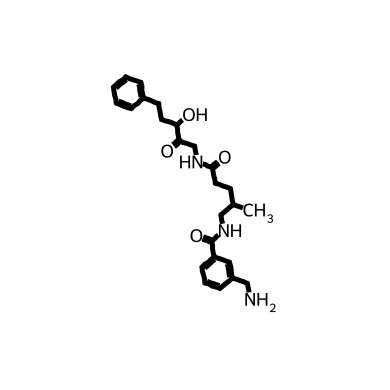 CC(CCC(=O)NCC(=O)C(O)CCc1ccccc1)CNC(=O)c1cccc(CN)c1